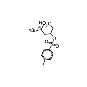 CCCC[C@@H](C)CC(CC(=O)O)OS(=O)(=O)c1ccc(C)cc1